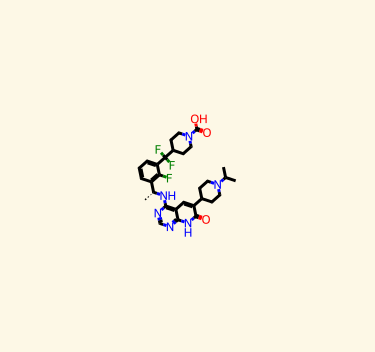 CC(C)N1CCC(c2cc3c(N[C@H](C)c4cccc(C(F)(F)C5CCN(C(=O)O)CC5)c4F)ncnc3[nH]c2=O)CC1